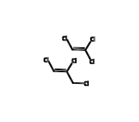 ClC=C(Cl)CCl.ClC=C(Cl)Cl